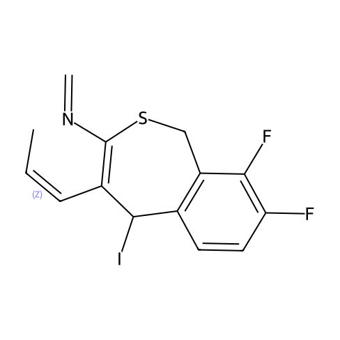 C=NC1=C(/C=C\C)C(I)c2ccc(F)c(F)c2CS1